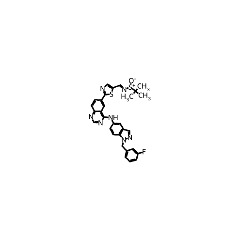 CC(C)(C)[S+]([O-])N=Cc1cnc(-c2ccc3ncnc(Nc4ccc5c(cnn5Cc5cccc(F)c5)c4)c3c2)s1